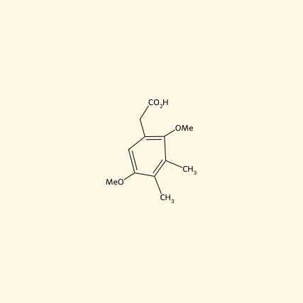 COc1cc(CC(=O)O)c(OC)c(C)c1C